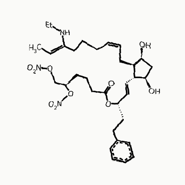 CC=C(CCC/C=C\C[C@@H]1[C@@H](/C=C/[C@H](CCc2ccccc2)OC(=O)CCC[C@H](CO[N+](=O)[O-])O[N+](=O)[O-])[C@H](O)C[C@@H]1O)NCC